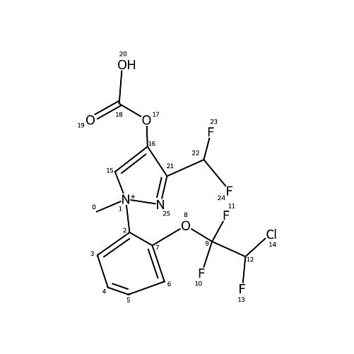 C[N+]1(c2ccccc2OC(F)(F)C(F)Cl)C=C(OC(=O)O)C(C(F)F)=N1